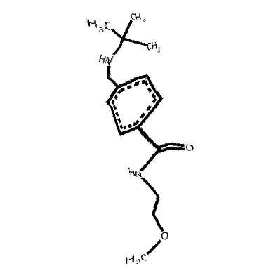 COCCNC(=O)c1ccc(NC(C)(C)C)cc1